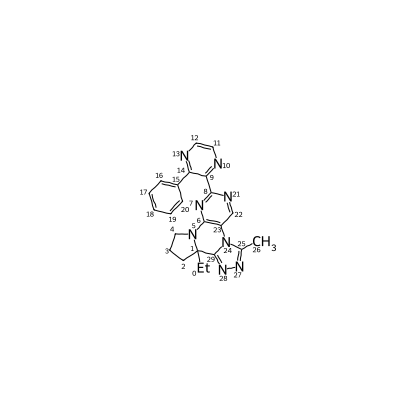 CCC12CCCN1c1nc(-c3nccnc3-c3ccccc3)ncc1-n1c(C)nnc12